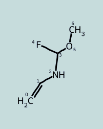 C=CNC(F)OC